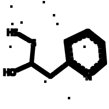 OC(Cc1ccccn1)SS